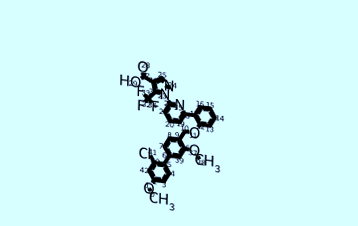 COc1ccc(-c2ccc(COc3ccccc3-c3cccc(-n4ncc(C(=O)O)c4C(F)(F)F)n3)c(OC)c2)c(Cl)c1